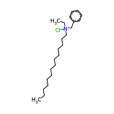 CCCCCCCCCCCCCC[N+](Cl)(CC)Cc1ccccc1